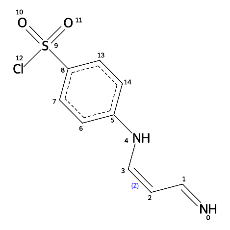 N=C/C=C\Nc1ccc(S(=O)(=O)Cl)cc1